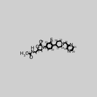 CC(=O)NCC1CN(c2ccc(C3CCN(Cc4cnccn4)CC3)c(F)c2)C(=O)O1